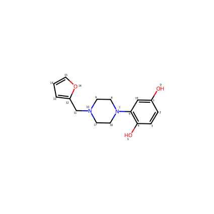 Oc1ccc(O)c(N2CCN(Cc3ccco3)CC2)c1